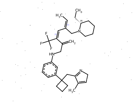 C=C(CNc1cccc(C2(CC3=NCC=C3C)CCC2)c1)/C(=C\C(=C/C)CN1CCCC[C@H]1CC)C(F)(F)F